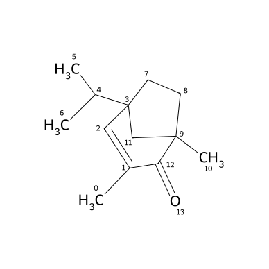 CC1=CC2(C(C)C)CCC(C)(C2)C1=O